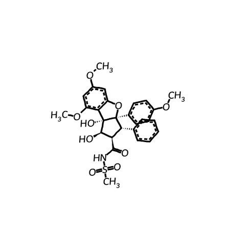 COc1ccc([C@@]23Oc4cc(OC)cc(OC)c4[C@]2(O)[C@H](O)[C@H](C(=O)NS(C)(=O)=O)[C@H]3c2ccccc2)cc1